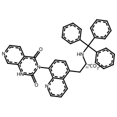 O=C(O)[C@H](Cc1ccc(-n2c(=O)[nH]c3cnccc3c2=O)c2ncccc12)NC(c1ccccc1)(c1ccccc1)c1ccccc1